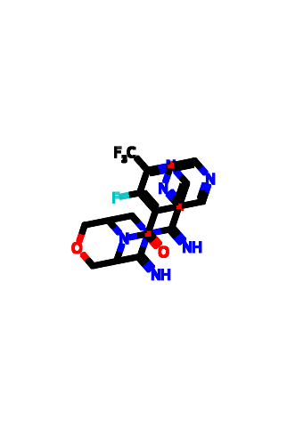 N=C(c1cnccn1)N1CC2COCC(C1=N)N2C(=O)c1ccnc(C(F)(F)F)c1F